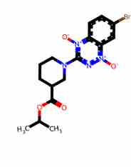 CC(C)OC(=O)C1CCCN(c2n[n+]([O-])c3cc(Br)ccc3[n+]2[O-])C1